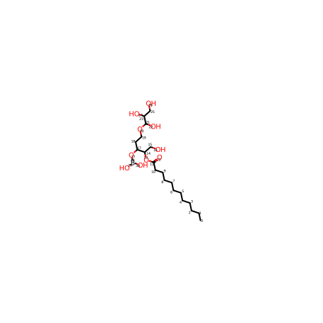 CCCCCCCCCCCC(=O)OC(CO)C(CCOC(O)C(O)CO)OB(O)O